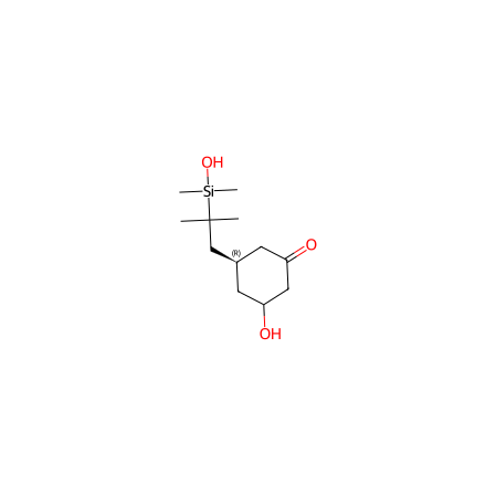 CC(C)(C[C@H]1CC(=O)CC(O)C1)[Si](C)(C)O